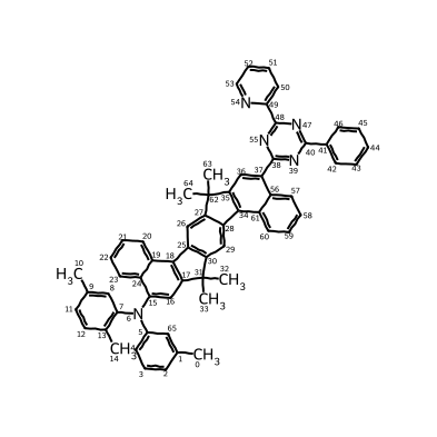 Cc1cccc(N(c2cc(C)ccc2C)c2cc3c(c4ccccc24)-c2cc4c(cc2C3(C)C)-c2c(cc(-c3nc(-c5ccccc5)nc(-c5ccccn5)n3)c3ccccc23)C4(C)C)c1